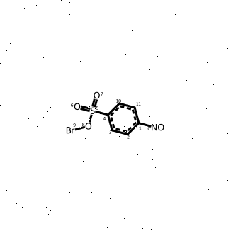 O=Nc1ccc(S(=O)(=O)OBr)cc1